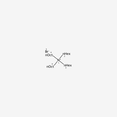 CCCCCCCC[N+](CCCCCC)(CCCCCC)CCCCCCCC.[Br-]